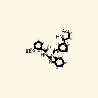 CC[C@H](C)c1cccc(C(=O)Nc2nc3ccccc3n2Cc2cccc(C(=N)/C=C\C(C)=O)c2)c1